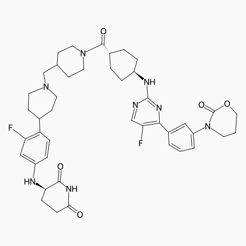 O=C1CC[C@@H](Nc2ccc(C3CCN(CC4CCN(C(=O)[C@H]5CC[C@H](Nc6ncc(F)c(-c7cccc(N8CCCOC8=O)c7)n6)CC5)CC4)CC3)c(F)c2)C(=O)N1